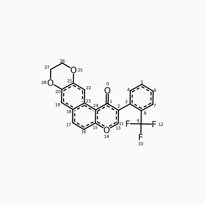 O=c1c(-c2ccccc2C(F)(F)F)coc2ccc3cc4c(cc3c12)OCCO4